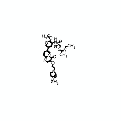 CC/N=C(/C)SCS(=O)(=O)Nc1cc(-c2ccc3ncc(OCCN4CC5CC4CN5C)c(=O)n3c2)cnc1OC